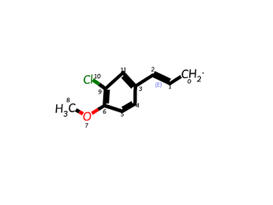 [CH2]/C=C/c1ccc(OC)c(Cl)c1